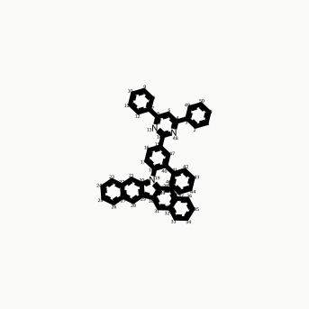 c1ccc(-c2cc(-c3ccccc3)nc(-c3ccc(-n4c5cc6ccccc6cc5c5cc6ccccc6cc54)c(-c4ccccc4)c3)n2)cc1